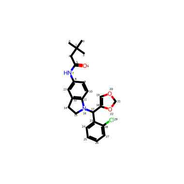 CC(C)(C)CC(=O)Nc1ccc2c(c1)CCN2C(C1=COCO1)c1ccccc1Cl